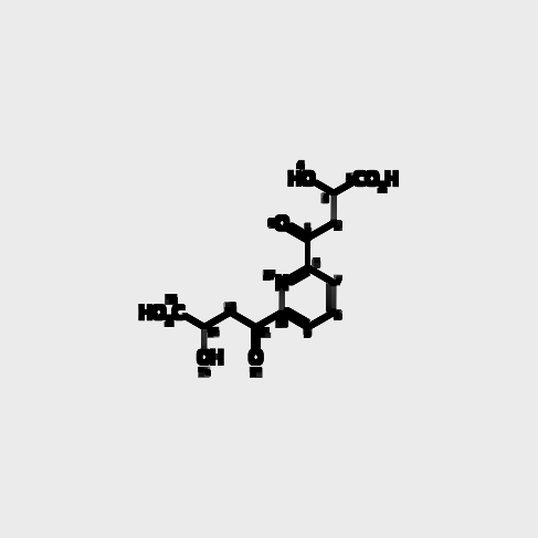 O=C(CC(O)C(=O)O)c1cccc(C(=O)CC(O)C(=O)O)n1